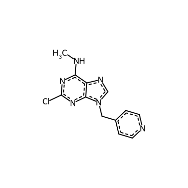 CNc1nc(Cl)nc2c1ncn2Cc1ccncc1